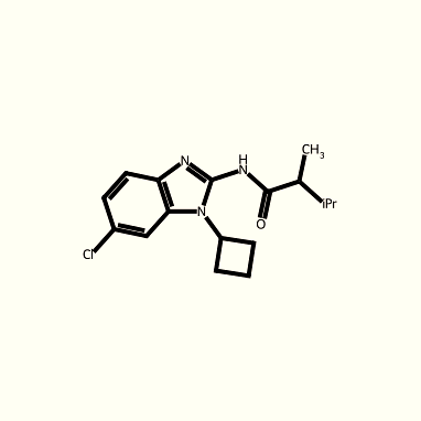 CC(C)C(C)C(=O)Nc1nc2ccc(Cl)cc2n1C1CCC1